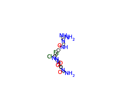 NC[C@@H]1CN([C@@H]2CC[C@H](NC(=O)[C@H]3CC[C@H](C(F)(F)c4cc(Cl)nc(N5CCN(S(=O)(=O)c6ccc(N7C[C@H](N)CC7=O)cc6)CC5)c4)CC3)C2)C[C@@H]1CN